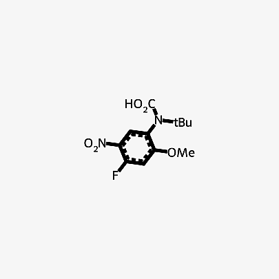 COc1cc(F)c([N+](=O)[O-])cc1N(C(=O)O)C(C)(C)C